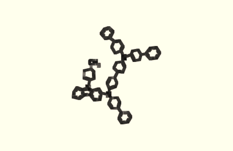 CC1C=CC(n2c3ccccc3c3ccc(N(C4=CCC(C5=CC=C(N(C6=CC=C(c7ccccc7)CC6)C6=CCC(c7ccccc7)CC6)CC5)C=C4)C4C=CC(c5ccccc5)=CC4)cc32)=CC1